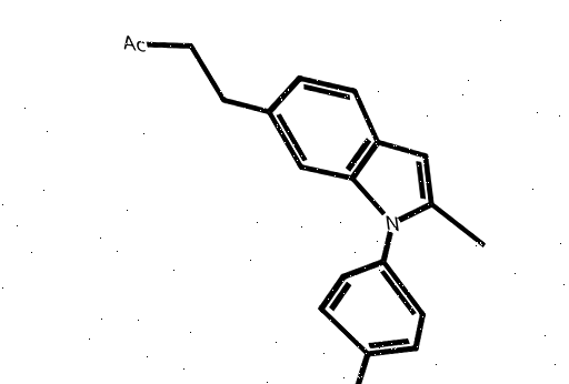 CC(=O)CCc1ccc2cc(C)n(-c3ccc(C#N)cc3)c2c1